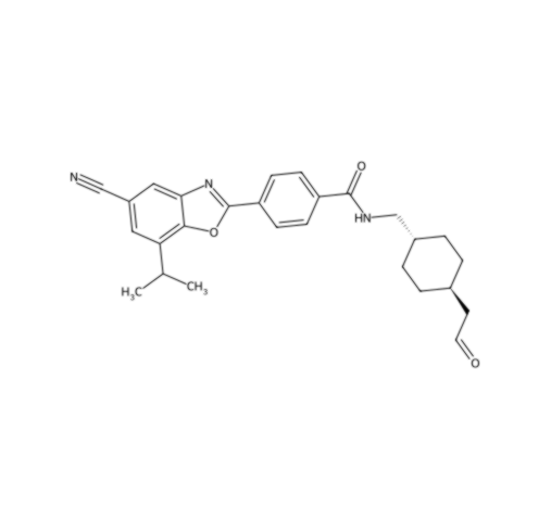 CC(C)c1cc(C#N)cc2nc(-c3ccc(C(=O)NC[C@H]4CC[C@H](CC=O)CC4)cc3)oc12